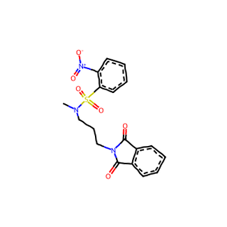 CN(CCCN1C(=O)c2ccccc2C1=O)S(=O)(=O)c1ccccc1[N+](=O)[O-]